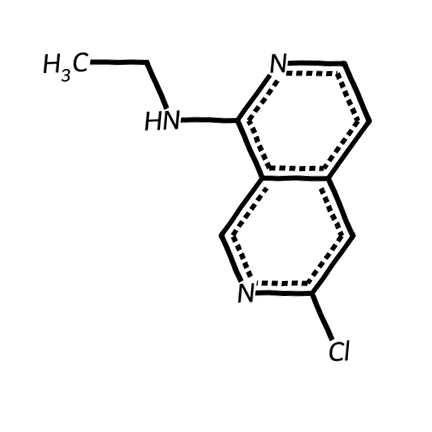 CCNc1nccc2cc(Cl)ncc12